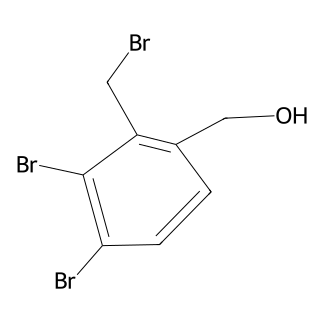 OCc1ccc(Br)c(Br)c1CBr